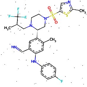 Cc1ncc(S(=O)(=O)N2CCN(CC(C)C(F)(F)F)[C@@H](c3cc(C=N)c(Nc4ccc(F)cc4)cc3C)C2)s1